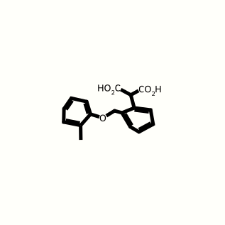 Cc1ccccc1OCc1ccccc1C(C(=O)O)C(=O)O